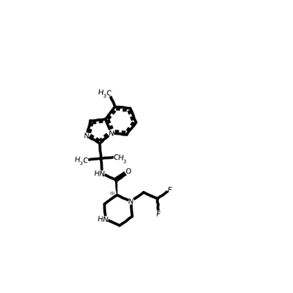 Cc1cccn2c(C(C)(C)NC(=O)[C@@H]3CNCCN3CC(F)F)ncc12